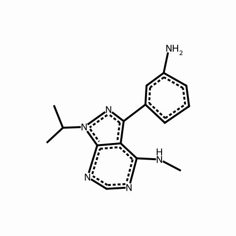 CNc1ncnc2c1c(-c1cccc(N)c1)nn2C(C)C